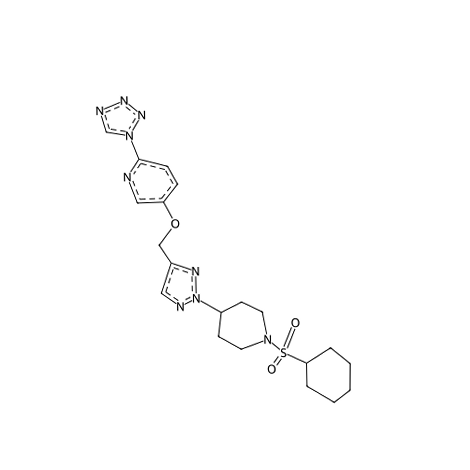 O=S(=O)(C1CCCCC1)N1CCC(n2ncc(COc3ccc(-n4cnnn4)nc3)n2)CC1